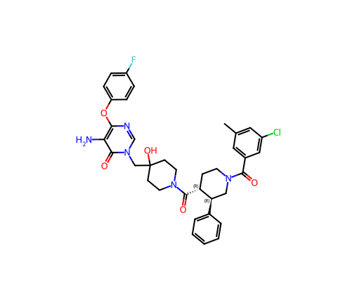 Cc1cc(Cl)cc(C(=O)N2CC[C@@H](C(=O)N3CCC(O)(Cn4cnc(Oc5ccc(F)cc5)c(N)c4=O)CC3)[C@H](c3ccccc3)C2)c1